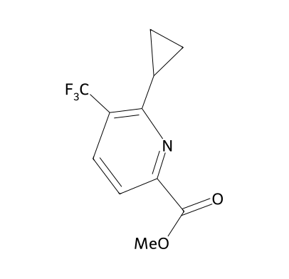 COC(=O)c1ccc(C(F)(F)F)c(C2CC2)n1